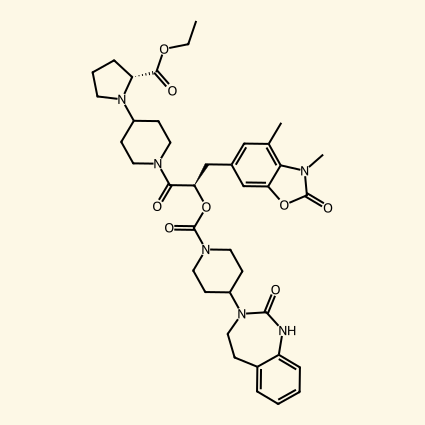 CCOC(=O)[C@H]1CCCN1C1CCN(C(=O)[C@@H](Cc2cc(C)c3c(c2)oc(=O)n3C)OC(=O)N2CCC(N3CCc4ccccc4NC3=O)CC2)CC1